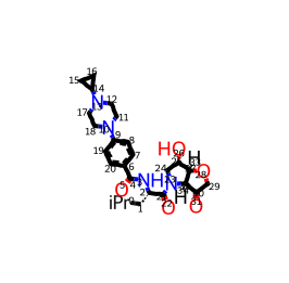 CC(C)C[C@H](NC(=O)c1ccc(N2CCN(C3CC3)CC2)cc1)C(=O)N1C[C@@H](O)[C@H]2OCC(=O)[C@H]21